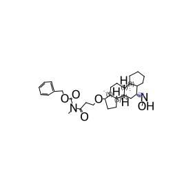 CN(C(=O)CCOC1CC[C@H]2[C@@H]3C/C(=N\O)C4CCCC[C@]4(C)[C@H]3CC[C@]12C)C(=O)OCc1ccccc1